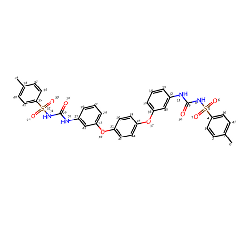 Cc1ccc(S(=O)(=O)NC(=O)Nc2cccc(Oc3ccc(Oc4cccc(NC(=O)NS(=O)(=O)c5ccc(C)cc5)c4)cc3)c2)cc1